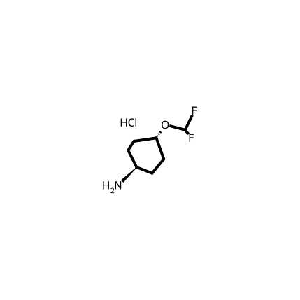 Cl.N[C@H]1CC[C@H](OC(F)F)CC1